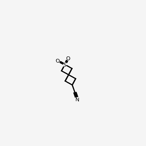 N#CC1CC2(C1)CS(=O)(=O)C2